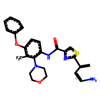 C=C(/C=C\N)c1nc(C(=O)Nc2ccc(Oc3ccccc3)c(C(F)(F)F)c2N2CCOCC2)cs1